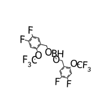 Fc1cc(COBOCc2cc(F)c(F)cc2OC(F)(F)F)c(OC(F)(F)F)cc1F